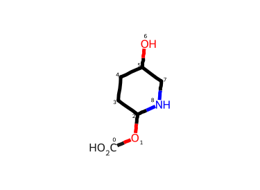 O=C(O)OC1CCC(O)CN1